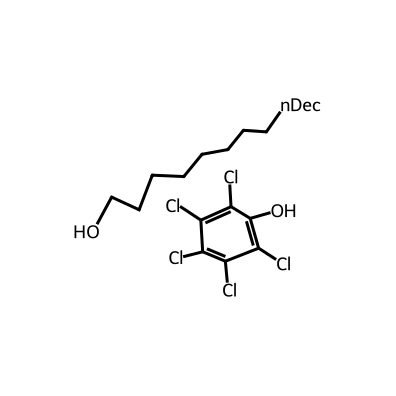 CCCCCCCCCCCCCCCCCCO.Oc1c(Cl)c(Cl)c(Cl)c(Cl)c1Cl